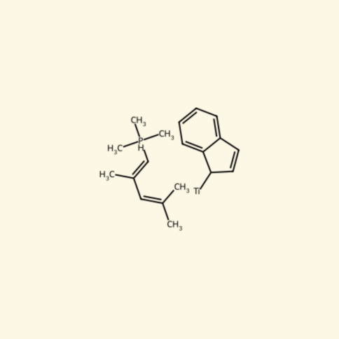 CC(C)=CC(C)=C[PH](C)(C)C.[Ti][CH]1C=Cc2ccccc21